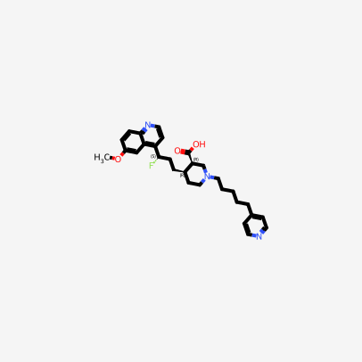 COc1ccc2nccc([C@@H](F)CC[C@@H]3CCN(CCCCCc4ccncc4)C[C@@H]3C(=O)O)c2c1